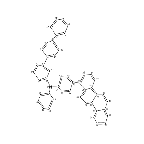 c1ccc(-c2ccc(-c3cccc(N(c4ccccc4)c4ccc(-c5cccc6c5ccc5c7ccccc7ccc65)cc4)c3)cc2)cc1